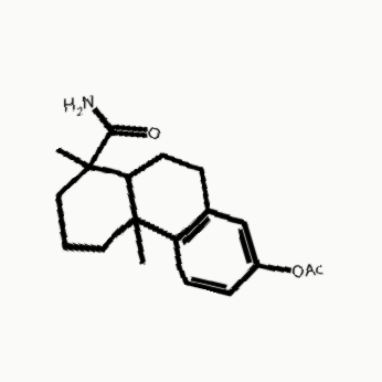 CC(=O)Oc1ccc2c(c1)CCC1C(C)(C(N)=O)CCCC21C